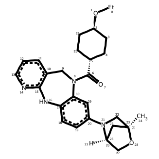 CCO[C@H]1CC[C@H](C(=O)N2Cc3cccnc3Nc3ccc(N4C[C@]5(C)C[C@H]4CO5)cc32)CC1